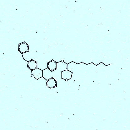 CCCCCCCCCC(Oc1ccc(C2c3ccc(Cc4ccccc4)cc3OCC2c2ccccc2)cc1)N1CCOCC1